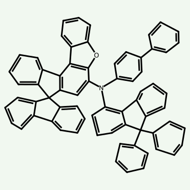 c1ccc(-c2ccc(N(c3cccc4c3-c3ccccc3C4(c3ccccc3)c3ccccc3)c3cc4c(c5c3oc3ccccc35)-c3ccccc3C43c4ccccc4-c4ccccc43)cc2)cc1